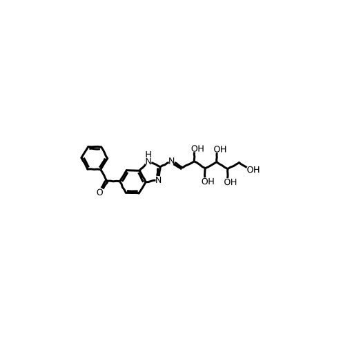 O=C(c1ccccc1)c1ccc2nc(/N=C/C(O)C(O)C(O)C(O)CO)[nH]c2c1